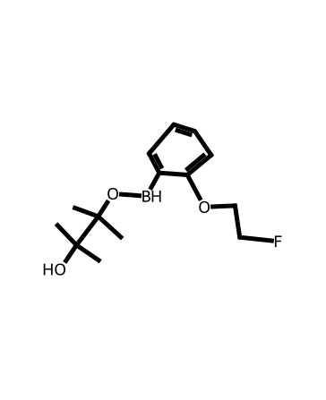 CC(C)(O)C(C)(C)OBc1ccccc1OCCF